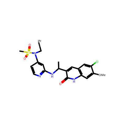 COc1cc2[nH]c(=O)c(C(C)Nc3cc(N(CC(C)C)S(C)(=O)=O)ccn3)cc2cc1Cl